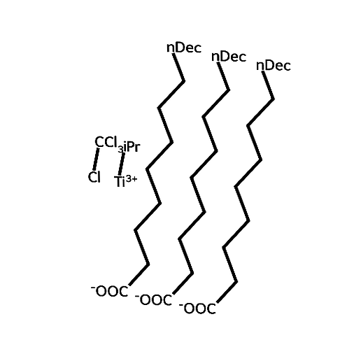 CCCCCCCCCCCCCCCCCC(=O)[O-].CCCCCCCCCCCCCCCCCC(=O)[O-].CCCCCCCCCCCCCCCCCC(=O)[O-].C[CH](C)[Ti+3].ClC(Cl)(Cl)Cl